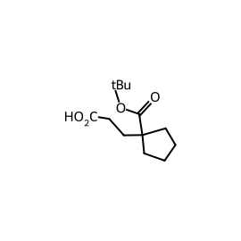 CC(C)(C)OC(=O)C1(CCC(=O)O)CCCC1